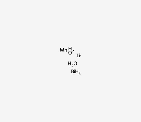 O.O.[BiH3].[Li].[Mn]